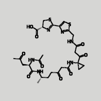 CC(=O)C[C@@H](NC(C)=O)C(=O)N[C@@H](C)CCC(=O)CC(=O)NC1(C(=O)CC(=O)NCc2nc(C3=N[C@H](C(=O)O)CS3)cs2)CC1